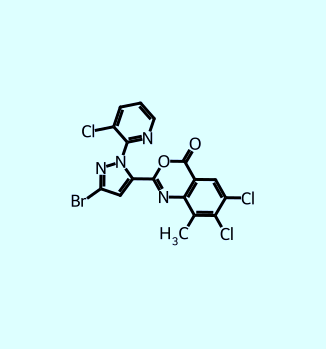 Cc1c(Cl)c(Cl)cc2c(=O)oc(-c3cc(Br)nn3-c3ncccc3Cl)nc12